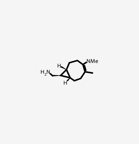 CN/C1=C(\C)CC[C@@H]2[C@@H](CN)[C@@H]2CC1